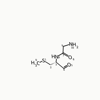 CSC[C@@H](C=O)NC(=O)CN